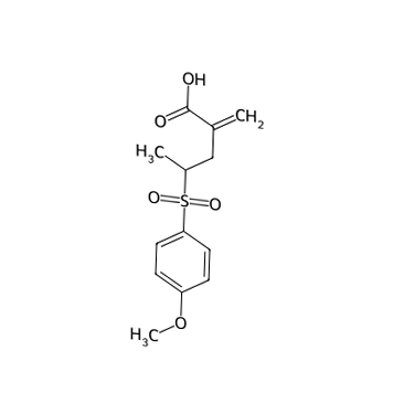 C=C(CC(C)S(=O)(=O)c1ccc(OC)cc1)C(=O)O